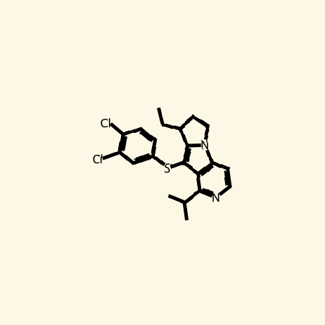 CCC1CCn2c1c(Sc1ccc(Cl)c(Cl)c1)c1c(C(C)C)nccc12